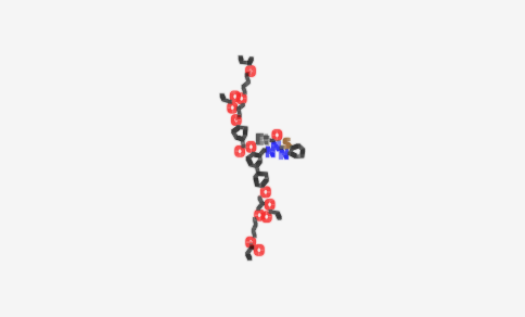 C=CC(=C)OCCCCOCC(COc1ccc(C(=O)Oc2ccc(-c3ccc(OCC(COCCCCOC(=O)C=C)OC(=O)C=C)cc3)cc2/C=N/N(C(=O)CC)c2nc3ccccc3s2)cc1)OC(=O)C=C